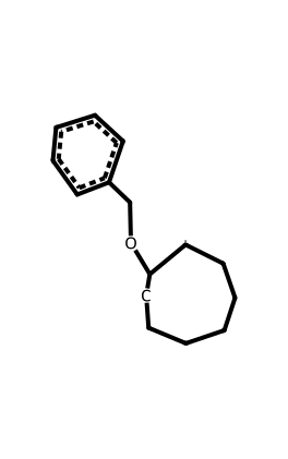 [CH]1CCCCCCC1OCc1ccccc1